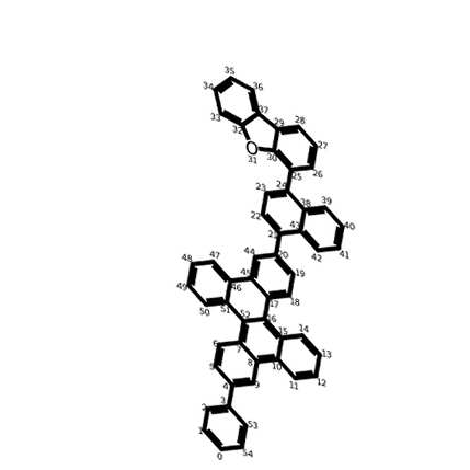 c1ccc(-c2ccc3c(c2)c2ccccc2c2c4ccc(-c5ccc(-c6cccc7c6oc6ccccc67)c6ccccc56)cc4c4ccccc4c32)cc1